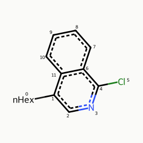 CCCCCCc1cnc(Cl)c2ccccc12